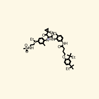 CCN(CCNS(C)(=O)=O)c1ccc(/N=C(/C(=O)Nc2cc(NC(=O)CCCOc3ccc(C(C)(C)CC)cc3C(C)(C)CC)ccc2Cl)C(=O)C2(CC)CC2)c(C)c1